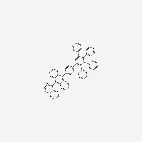 c1ccc(-c2cc(-c3ccc(-c4c5ccccc5c(-c5nccc6ccccc56)c5ccccc45)cc3)c(-c3ccccc3)c(-c3ccccc3)c2-c2ccccc2)cc1